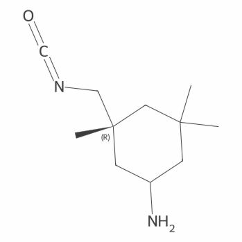 CC1(C)CC(N)C[C@](C)(CN=C=O)C1